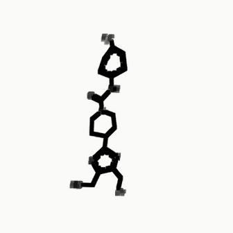 CC(C)Cc1nc(C2CCN(C(=O)Nc3ccc(C(F)(F)F)cc3)CC2)sc1CO